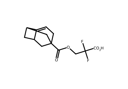 O=C(O)C(F)(F)COC(=O)C12CC=C3C(CC3C1)C2